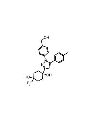 Cc1ccc(-c2cc(C3(O)CCC(O)(C(F)(F)F)CC3)nn2-c2ccc(CO)cc2)cc1